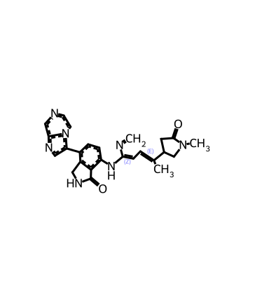 C=N/C(=C\C=C(/C)C1CC(=O)N(C)C1)Nc1ccc(-c2cnc3cnccn23)c2c1C(=O)NC2